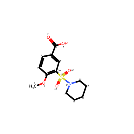 COc1ccc(C(=O)O)cc1S(=O)(=O)N1CCCCC1